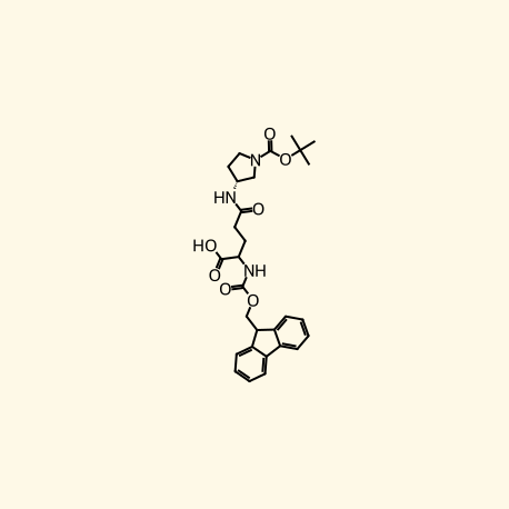 CC(C)(C)OC(=O)N1CC[C@@H](NC(=O)CCC(NC(=O)OCC2c3ccccc3-c3ccccc32)C(=O)O)C1